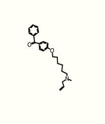 C=CCN(C)CCCCCCOc1ccc(C(=O)c2ccccc2)cc1